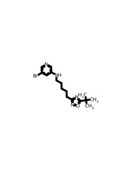 CC(C)(C)c1nc(CCCCCNc2cncc(Br)c2)no1